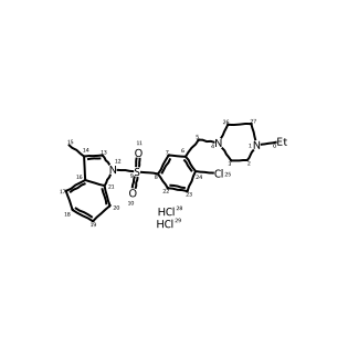 CCN1CCN(Cc2cc(S(=O)(=O)n3cc(C)c4ccccc43)ccc2Cl)CC1.Cl.Cl